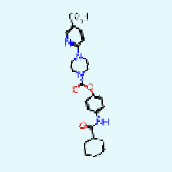 O=C(O)c1ccc(N2CCN(C(=O)Oc3ccc(NC(=O)C4CCCCC4)cc3)CC2)nc1